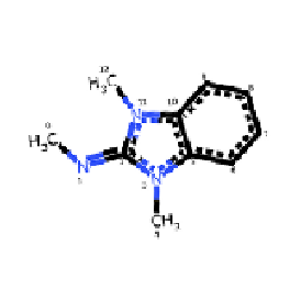 CN=c1n(C)c2ccccc2n1C